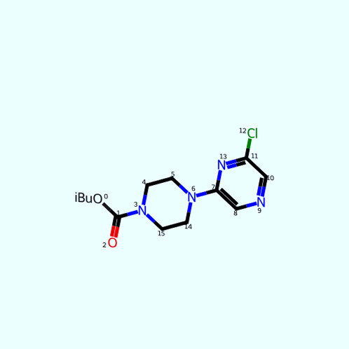 CC(C)COC(=O)N1CCN(c2cncc(Cl)n2)CC1